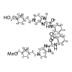 COCC12CCC(CCN3CCc4c(nc(C(=O)Nc5cccc(-c6cccc(NC(=O)c7nc8c(n7C)CCN(CCC79CCC(C(=O)O)(CC7)C9)C8)c6Cl)c5Cl)n4C)C3)(CC1)C2